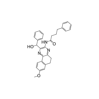 COc1ccc2c(c1)CCc1nc(NC(=O)CCCc3ccccc3)c(C(O)c3ccccc3)nc1-2